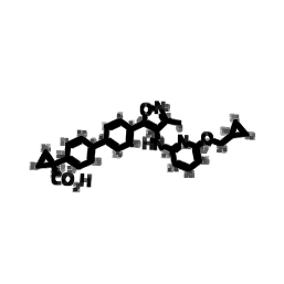 Cc1noc(-c2ccc(-c3ccc(C4(C(=O)O)CC4)cc3)cc2)c1Nc1cccc(OCC2CC2)n1